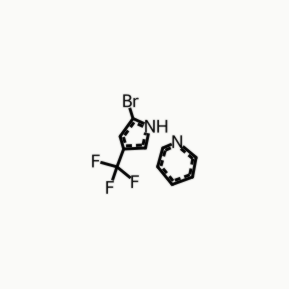 FC(F)(F)c1c[nH]c(Br)c1.c1ccncc1